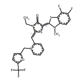 CCn1c(=O)/c(=C2\Sc3c(ccc(F)c3F)N2C)s/c1=C\c1cccc[n+]1Cc1ccc(C(F)(F)F)o1